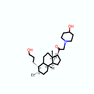 CC[C@H]1CC[C@@H]2C(CC[C@]3(C)[C@@H](C(=O)CN4CCC(O)CC4)CC[C@@H]23)[C@H]1CCCO